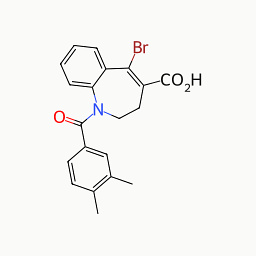 Cc1ccc(C(=O)N2CCC(C(=O)O)=C(Br)c3ccccc32)cc1C